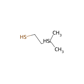 C[SiH](C)CCS